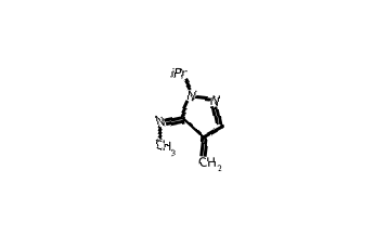 C=C1C=NN(C(C)C)/C1=N/C